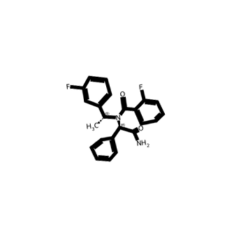 C[C@H](c1cccc(F)c1)N(C(=O)c1ccccc1F)[C@@H](C(N)=O)c1ccccc1